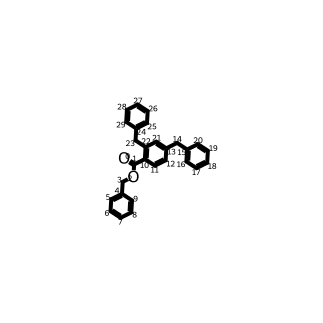 O=C(OCc1ccccc1)c1ccc(Cc2ccccc2)cc1Cc1ccccc1